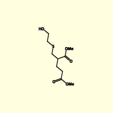 COC(=O)CCC(CSCCO)C(=O)OC